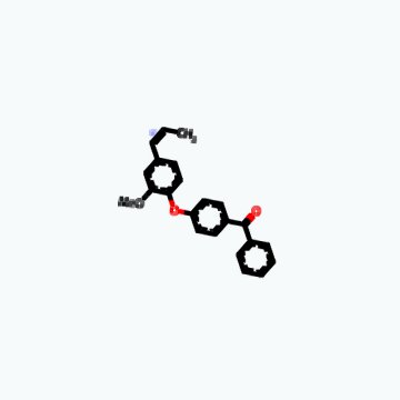 C/C=C\c1ccc(Oc2ccc(C(=O)c3ccccc3)cc2)c(OC)c1